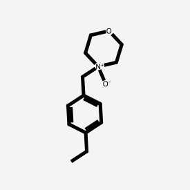 CCc1ccc(C[N+]2([O-])CCOCC2)cc1